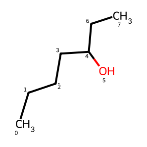 CC[CH]CC(O)CC